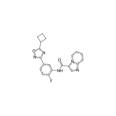 O=C(Nc1cc(-c2noc(C3CCC3)n2)ccc1F)c1cnc2ccccn12